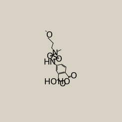 COCCCN(C)S(=O)(=O)Nc1ccc(C(=O)O)c(C(=O)O)c1